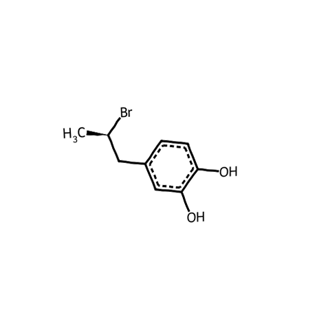 C[C@@H](Br)Cc1ccc(O)c(O)c1